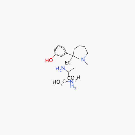 CC(N)C(=O)O.CCC1(c2cccc(O)c2)CCCCN(C)C1.NC(=O)O